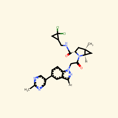 CC(=O)c1nn(CC(=O)N2[C@H](C(=O)NCC3CC3(Cl)Cl)C[C@@]3(C)C[C@@H]23)c2ccc(-c3cnc(C)nc3)cc12